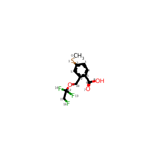 CSc1ccc(C(=O)O)c(COC(F)(F)CF)c1